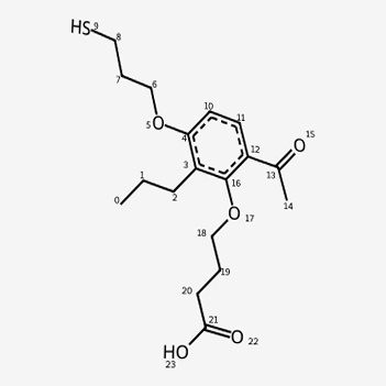 CCCc1c(OCCCS)ccc(C(C)=O)c1OCCCC(=O)O